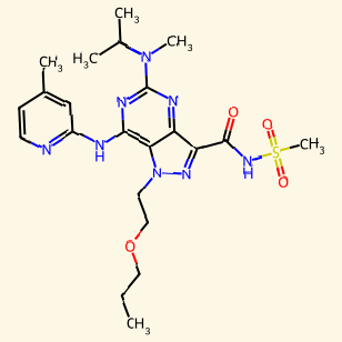 CCCOCCn1nc(C(=O)NS(C)(=O)=O)c2nc(N(C)C(C)C)nc(Nc3cc(C)ccn3)c21